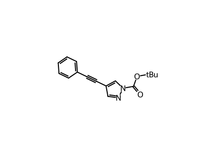 CC(C)(C)OC(=O)n1cc(C#Cc2ccccc2)cn1